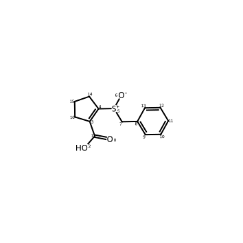 O=C(O)C1=C([S+]([O-])Cc2ccccc2)CCC1